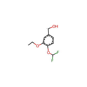 CCOc1cc([CH]O)ccc1OC(F)F